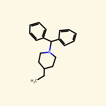 C[CH]C1CCN(C(c2ccccc2)c2ccccc2)CC1